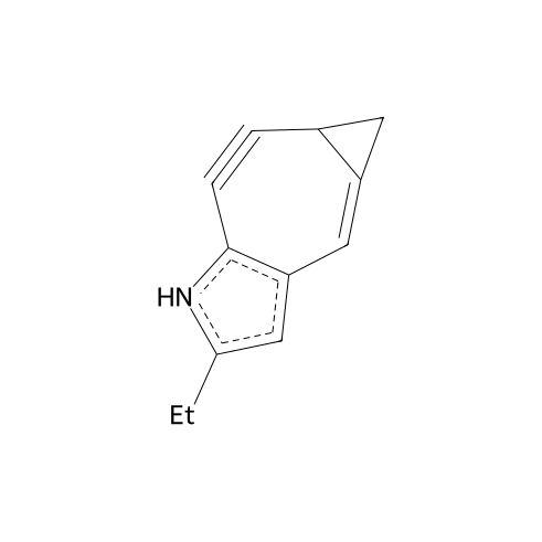 CCc1cc2c([nH]1)C#CC1CC1=C2